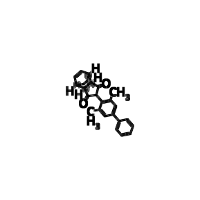 Cc1cc(-c2ccccc2)cc(C)c1C1C(=O)[C@@H]2[C@H](C1=O)[C@@H]1C=C[C@H]2CC1